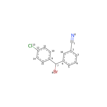 N#Cc1cccc(C(Br)c2ccc(Cl)cc2)c1